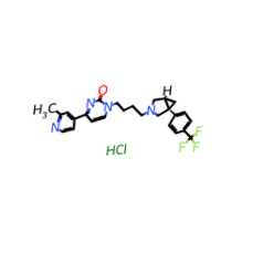 Cc1cc(-c2ccn(CCCCN3C[C@@H]4C[C@]4(c4ccc(C(F)(F)F)cc4)C3)c(=O)n2)ccn1.Cl